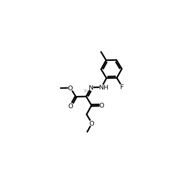 COCC(=O)/C(=N\Nc1cc(C)ccc1F)C(=O)OC